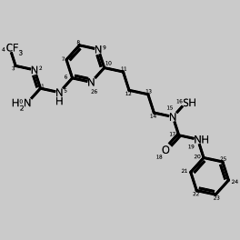 NC(=NCC(F)(F)F)Nc1ccnc(CCCCN(S)C(=O)Nc2ccccc2)n1